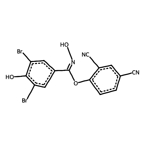 N#Cc1ccc(OC(=NO)c2cc(Br)c(O)c(Br)c2)c(C#N)c1